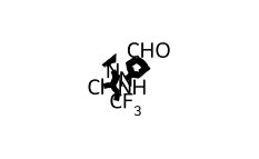 O=Cc1cccc(N2NC(C(F)(F)F)C(Cl)=C2N2CC2)c1